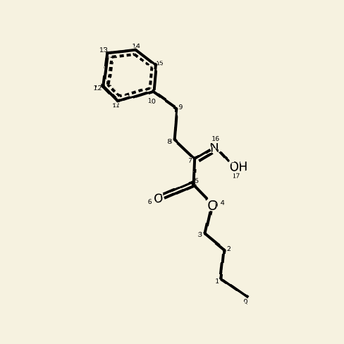 CCCCOC(=O)C(CCc1ccccc1)=NO